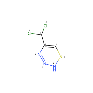 ClC(Cl)C1=CSNN=N1